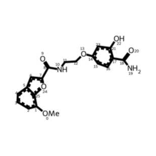 COc1cccc2cc(C(=O)NCCOc3ccc(C(N)=O)c(O)c3)oc12